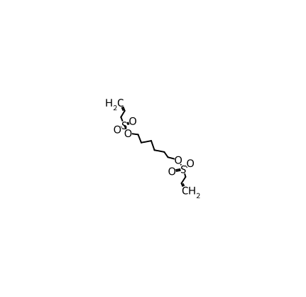 C=CCS(=O)(=O)OCCCCCCOS(=O)(=O)CC=C